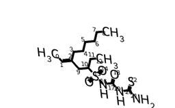 C/C=C(\CCCCCC)CC(CC)S(=O)(=O)NC(=O)NC(N)=S